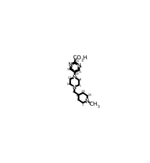 CN1CCC(CN2CCN(c3cnc(C(=O)O)nc3)CC2)CC1